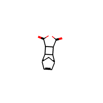 O=C1OC(=O)C2C1C1C3C=CC(C3)C21